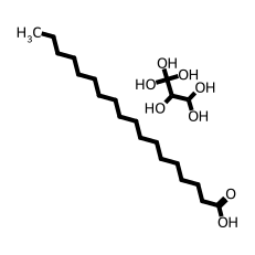 CCCCCCCCCCCCCCCCCC(=O)O.OC(O)C(O)C(O)(O)O